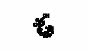 Cc1noc(C)c1-c1cc(O[C@@H]2CCN(c3cnn(CCO)c(=O)c3Cl)C2)ncc1F